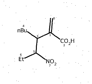 C=C(C(=O)O)C(CCCC)C(CC)[N+](=O)[O-]